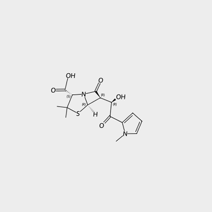 Cn1cccc1C(=O)[C@H](O)[C@@H]1C(=O)N2[C@@H]1SC(C)(C)[C@@H]2C(=O)O